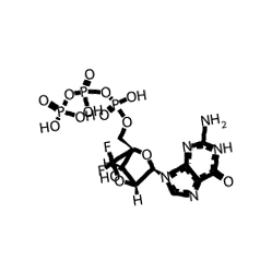 Nc1nc2c(ncn2[C@@H]2O[C@]3(COP(=O)(O)OP(=O)(O)OP(=O)(O)O)[C@@H](O)[C@H]2OC3(F)F)c(=O)[nH]1